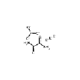 NC(=O)C(N)=O.[K+].[K+].[K+].[O-]P([O-])[O-]